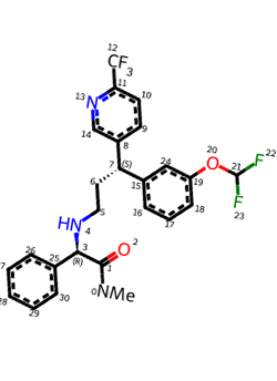 CNC(=O)[C@H](NCC[C@H](c1ccc(C(F)(F)F)nc1)c1cccc(OC(F)F)c1)c1ccccc1